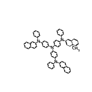 CC12C=CC=CC1=CC(N(c1ccccc1)c1ccc(N(c3ccc(N(c4ccccc4)c4ccc5ccccc5c4)cc3)c3ccc(N(c4ccccc4)c4ccc5ccccc5c4)cc3)cc1)=CC2